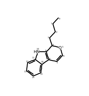 CCCCC1OC=Cc2c1[nH]c1ccccc21